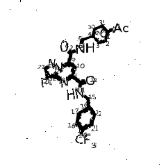 CC(=O)C12CCC(CNC(=O)c3cc(C(=O)NCc4ccc(C(F)(F)F)cc4)nc4c(F)cnn34)(CC1)CC2